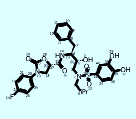 CC(C)CN(C[C@@H](O)[C@H](Cc1ccccc1)NC(=O)[C@@H]1CN(c2ccc(F)cc2)C(=O)O1)S(=O)(=O)c1ccc(O)c(O)c1